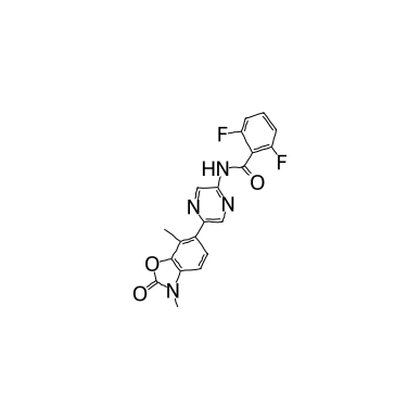 Cc1c(-c2cnc(NC(=O)c3c(F)cccc3F)cn2)ccc2c1oc(=O)n2C